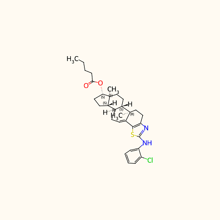 CCCCC(=O)O[C@H]1CC[C@H]2[C@@H]3CC=C4c5sc(Nc6ccccc6Cl)nc5CC[C@]4(C)[C@H]3CC[C@]12C